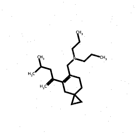 C=C(CC(C)C)C1=C(CN(CCC)CCC)CCC2(CC2)C1